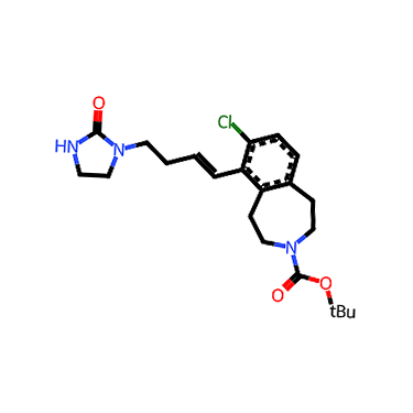 CC(C)(C)OC(=O)N1CCc2ccc(Cl)c(C=CCCN3CCNC3=O)c2CC1